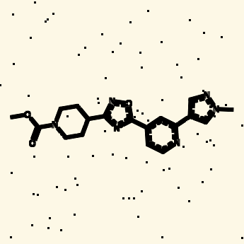 COC(=O)N1CCC(c2noc(-c3ccnc(-c4cnn(C)c4)c3)n2)CC1